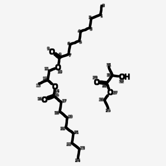 CCCCCCCCC(=O)OCC(C)OC(=O)CCCCCCCC.CCOC(=O)C(C)O